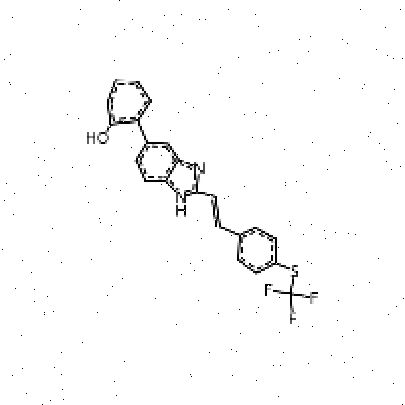 Oc1ccccc1-c1ccc2[nH]c(/C=C/c3ccc(SC(F)(F)F)cc3)nc2c1